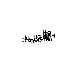 CCC(CC)c1ccc(OCCOCCOc2cc(C(C)(C)C)c(NC(=O)c3c[nH]c4ccccc4c3=O)cc2O)cc1